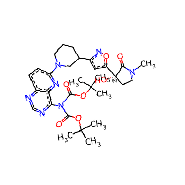 CN1CC[C@@](O)(c2cc(C3CCCN(c4ccc5ncnc(N(C(=O)OC(C)(C)C)C(=O)OC(C)(C)C)c5n4)C3)no2)C1=O